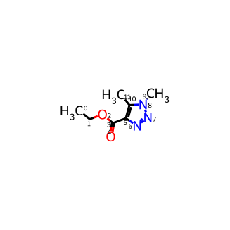 CCOC(=O)c1nnn(C)c1C